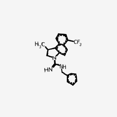 CC1CN(C(=N)NCc2ccccc2)c2ccc3c(C(F)(F)F)cccc3c21